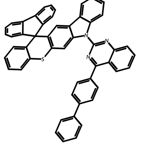 c1ccc(-c2ccc(-c3nc(-n4c5ccccc5c5cc6c(cc54)Sc4ccccc4C64c5ccccc5-c5ccccc54)nc4ccccc34)cc2)cc1